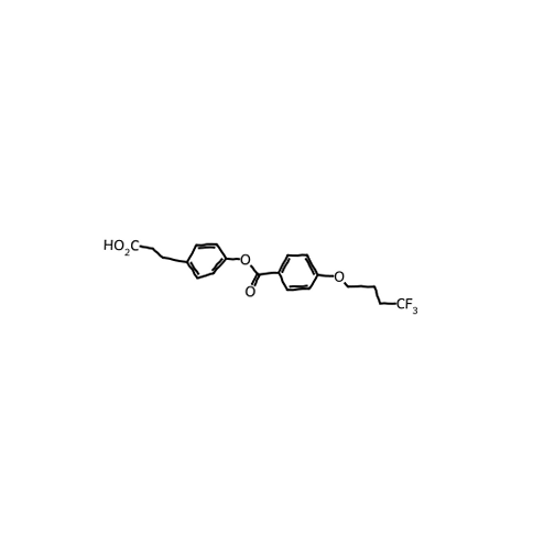 O=C(O)CCc1ccc(OC(=O)c2ccc(OCCCC(F)(F)F)cc2)cc1